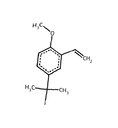 C=Cc1cc(C(C)(C)I)ccc1OC